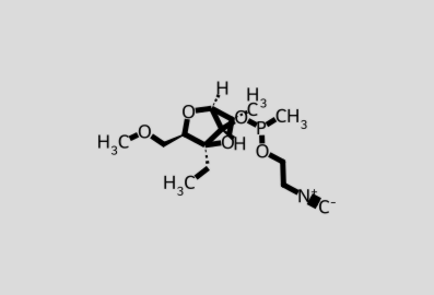 [C-]#[N+]CCOP(C)O[C@H]1[C@H]2O[C@H](COC)[C@]1(CC)O[C@H]2C